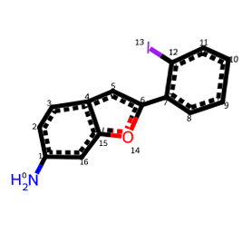 Nc1ccc2cc(-c3ccccc3I)oc2c1